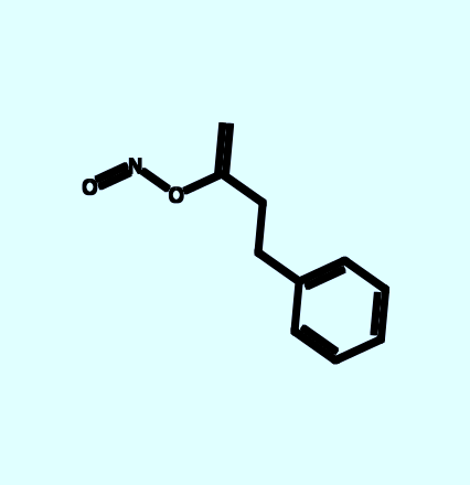 C=C(CCc1ccccc1)ON=O